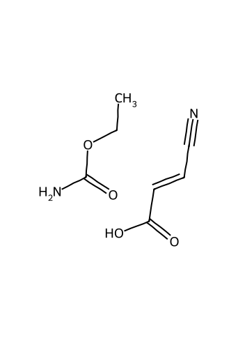 CCOC(N)=O.N#CC=CC(=O)O